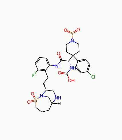 O=C(O)N[C@H](C(=O)Nc1cccc(F)c1CC[C@H]1CN[C@@H]2CCCS(=O)(=O)N1C2)C1(c2ccc(Cl)cc2)CCN([SH](=O)=O)CC1